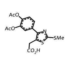 CSc1nc(-c2ccc(OC(C)=O)c(OC(C)=O)c2)c(CC(=O)O)s1